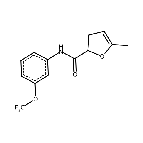 CC1=CCC(C(=O)Nc2cccc(OC(F)(F)F)c2)O1